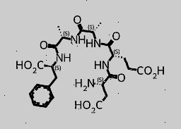 C[C@H](NC(=O)[C@H](C)NC(=O)[C@H](CCC(=O)O)NC(=O)[C@@H](N)CC(=O)O)C(=O)N[C@@H](Cc1ccccc1)C(=O)O